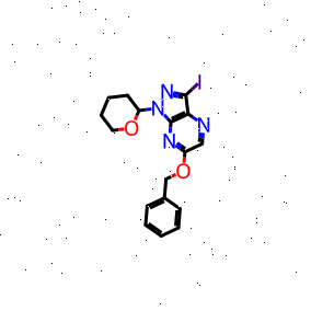 Ic1nn(C2CCCCO2)c2nc(OCc3ccccc3)cnc12